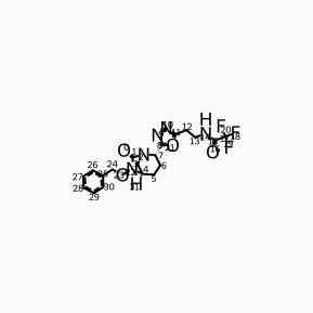 O=C1N2C[C@@H](CC[C@H]2c2nnc(CCNC(=O)C(F)(F)F)o2)N1OCc1ccccc1